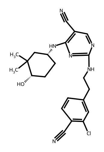 CC1(C)C[C@H](Nc2nc(NCCc3ccc(C#N)c(Cl)c3)ncc2C#N)CC[C@@H]1O